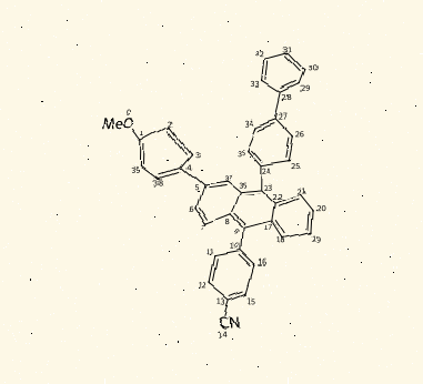 COc1ccc(-c2ccc3c(-c4ccc(C#N)cc4)c4ccccc4c(-c4ccc(-c5ccccc5)cc4)c3c2)cc1